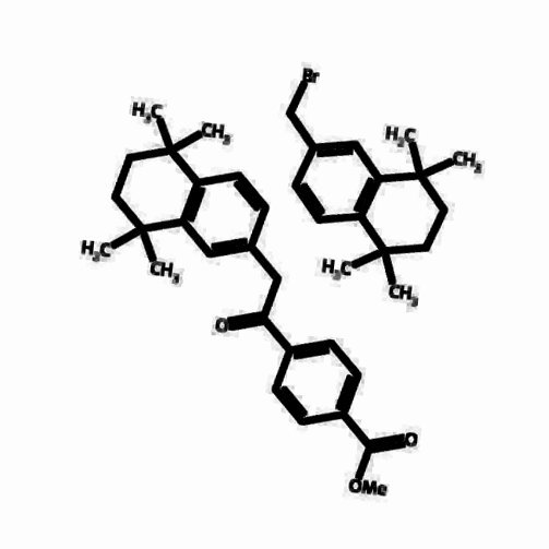 CC1(C)CCC(C)(C)c2cc(CBr)ccc21.COC(=O)c1ccc(C(=O)Cc2ccc3c(c2)C(C)(C)CCC3(C)C)cc1